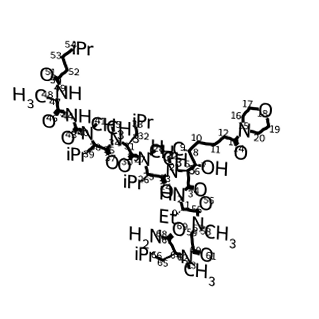 CC[C@H](NC(=O)[C@H]([C@H](O)[C@H](C)CCCC(=O)N1CCOCC1)N(C)C(=O)[C@H](C(C)C)N(C)C(=O)[C@H](CC(C)C)N(C)C(=O)C(C(C)C)N(C)C(=O)NC(=O)[C@@H](C)NC(=O)CCC(C)C)C(=O)N(C)CC(=O)N(C)[C@@H](CC(C)C)C(N)=O